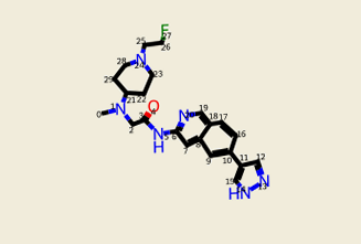 CN(CC(=O)Nc1cc2cc(-c3cn[nH]c3)ccc2cn1)C1CCN(CCF)CC1